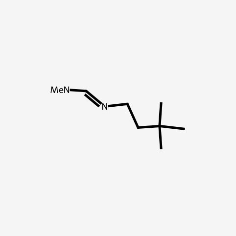 CN/C=N/CCC(C)(C)C